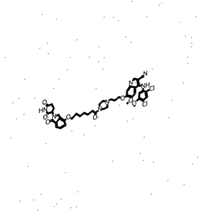 COc1cc(Nc2c(C#N)cnc3cc(OCCCN4CCN(C(=O)CCCCCCOc5cccc6c5CN(C5CCC(=O)NC5=O)C6=O)CC4)c(OC)cc23)c(Cl)cc1Cl